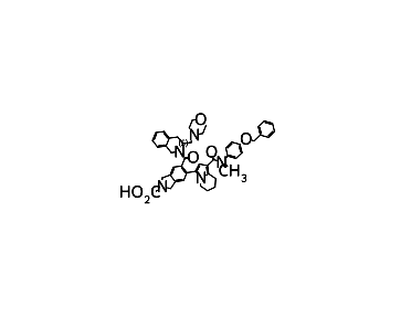 CN(C(=O)c1cc(-c2cc3c(cc2C(=O)N2Cc4ccccc4C[C@H]2CN2CCOCC2)CN(C(=O)O)C3)n2c1CCCC2)c1ccc(OCc2ccccc2)cc1